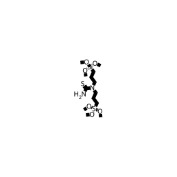 CO[Si](CCCN(CCC[Si](OC)(OC)OC)C(N)=S)(OC)OC